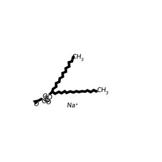 CCCCCCCCCCCCCCCCC(CCCCCCCCCCCCCC)COP(=O)([O-])OCC1CO1.[Na+]